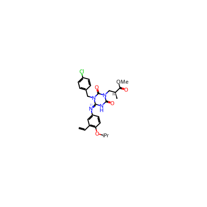 C=Cc1cc(/N=c2\[nH]c(=O)n(C[C@H](C)C(=O)OC)c(=O)n2Cc2ccc(Cl)cc2)ccc1OC(C)C